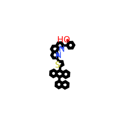 Oc1ccccc1-c1ccc2ccc3ccc(-c4ccc(-c5c6ccccc6c(-c6cccc7ccccc67)c6ccccc56)s4)nc3c2n1